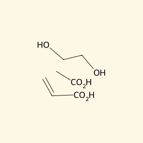 C=CC(=O)O.CC(=O)O.OCCO